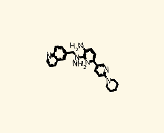 Nc1ccc(-c2ccc(N3CCCCC3)nc2)nc1N(N)Cc1ccc2ncccc2c1